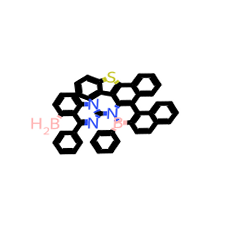 Bc1cccc2nc(N3B(c4ccccc4)c4ccc5ccccc5c4-c4c3c3c5ccccc5sc3c3ccccc43)nc(-c3ccccc3)c12